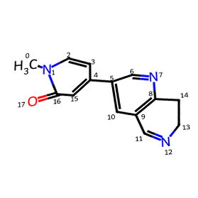 Cn1ccc(-c2cnc3c(c2)C=NCC3)cc1=O